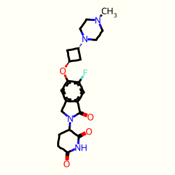 CN1CCN([C@H]2C[C@H](Oc3cc4c(cc3F)C(=O)N(C3CCC(=O)NC3=O)C4)C2)CC1